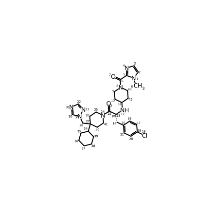 Cn1ccnc1C(=O)N1CCC(N[C@H](Cc2ccc(Cl)cc2)C(=O)N2CCC(Cn3cncn3)(C3CCCCC3)CC2)CC1